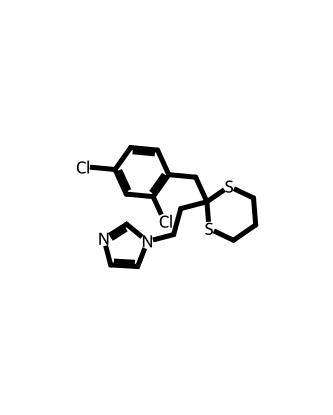 Clc1ccc(CC2(CCn3ccnc3)SCCCS2)c(Cl)c1